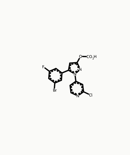 O=C(O)Oc1cc(-c2cc(F)cc(Br)c2)n(-c2ccnc(Cl)c2)n1